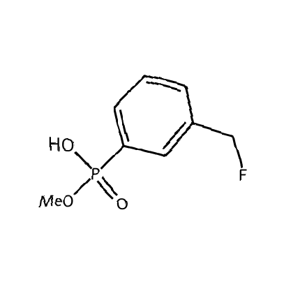 COP(=O)(O)c1cccc(CF)c1